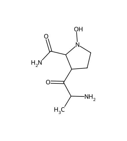 CC(N)C(=O)C1CCN(O)C1C(N)=O